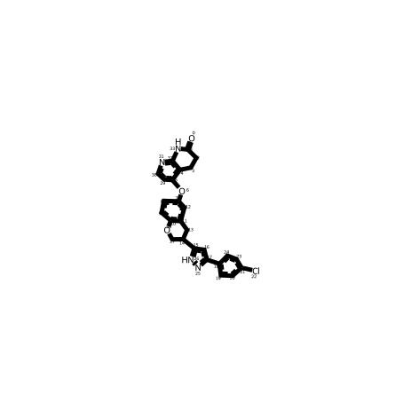 O=C1CCc2c(Oc3ccc4c(c3)CC(c3cc(-c5ccc(Cl)cc5)n[nH]3)CO4)ccnc2N1